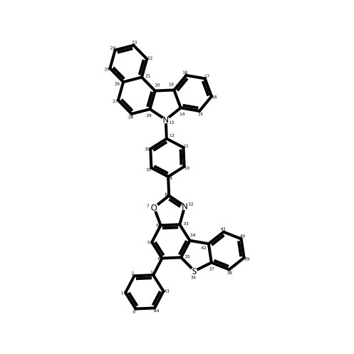 c1ccc(-c2cc3oc(-c4ccc(-n5c6ccccc6c6c7ccccc7ccc65)cc4)nc3c3c2sc2ccccc23)cc1